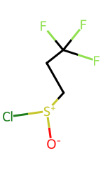 [O-][S+](Cl)CCC(F)(F)F